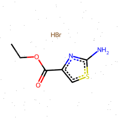 Br.CCOC(=O)c1csc(N)n1